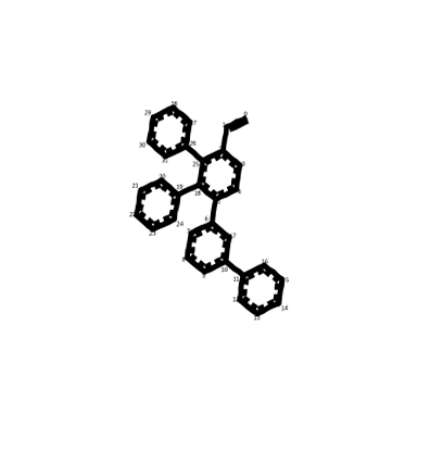 C=Cc1ccc(-c2cccc(-c3ccccc3)c2)c(-c2ccccc2)c1-c1ccccc1